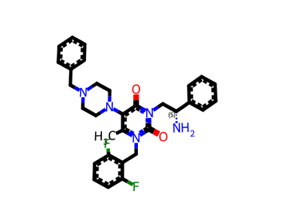 Cc1c(N2CCN(Cc3ccccc3)CC2)c(=O)n(C[C@@H](N)c2ccccc2)c(=O)n1Cc1c(F)cccc1F